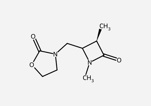 C[C@H]1C(=O)N(C)C1CN1CCOC1=O